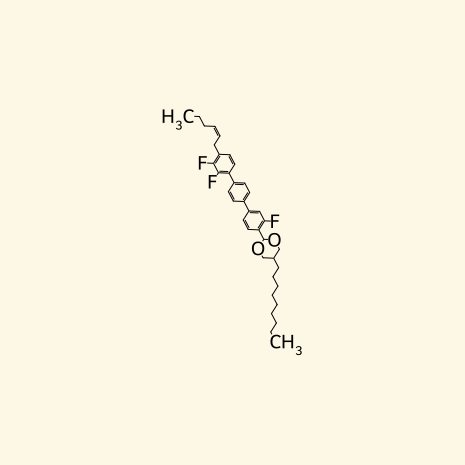 CCC/C=C\Cc1ccc(-c2ccc(-c3ccc(C4OCC(CCCCCCCCC)CO4)c(F)c3)cc2)c(F)c1F